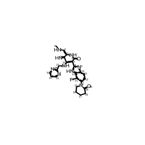 CN/C=C1/NC(=O)C(c2nc3ccc(N4CCCCC4=O)c(F)c3[nH]2)=C(NCc2ncccn2)C1=N